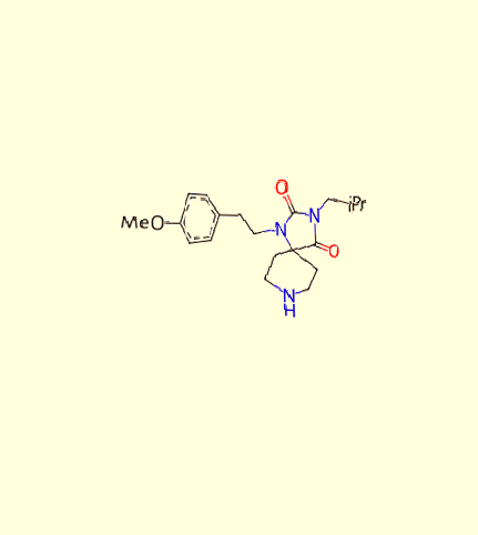 COc1ccc(CCN2C(=O)N(CC(C)C)C(=O)C23CCNCC3)cc1